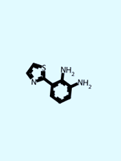 Nc1cccc(-c2nccs2)c1N